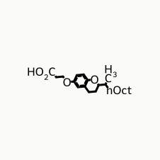 CCCCCCCCC(C)C1CCc2cc(OCCC(=O)O)ccc2O1